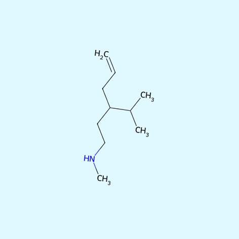 C=CCC(CCNC)C(C)C